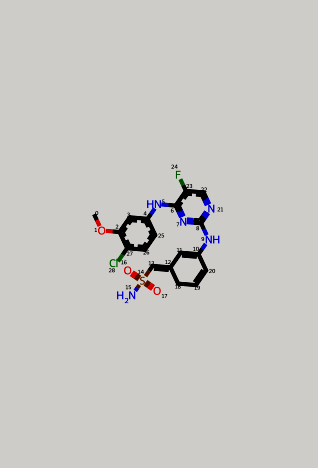 COc1cc(Nc2nc(NC3=CC(=CS(N)(=O)=O)CC=C3)ncc2F)ccc1Cl